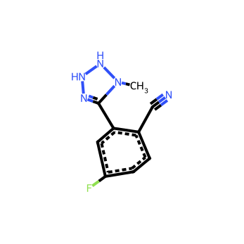 CN1NNN=C1c1cc(F)ccc1C#N